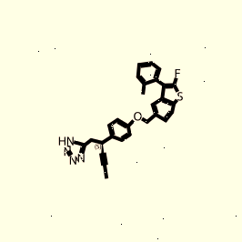 CC#C[C@@H](Cc1nnn[nH]1)c1ccc(OCc2ccc3sc(F)c(-c4ccccc4C)c3c2)cc1